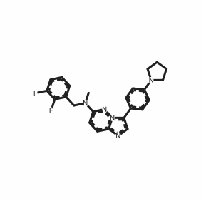 CN(Cc1cccc(F)c1F)c1ccc2ncc(-c3ccc(N4CCCC4)cc3)n2n1